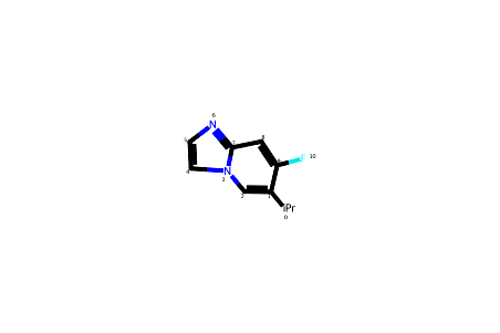 CC(C)c1cn2ccnc2cc1F